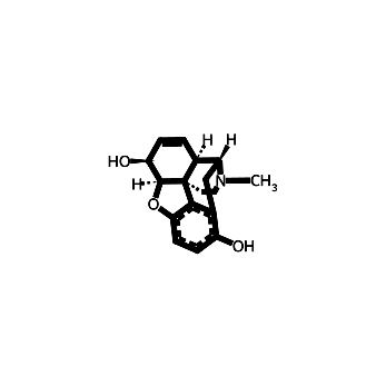 CN1CC[C@@]23c4c5ccc(O)c4C[C@@H]1[C@@H]2C=C[C@H](O)[C@@H]3O5